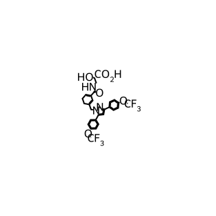 O=C(NCC(O)C(=O)O)C1=CCCC(Cn2nc(-c3ccc(OC(F)(F)F)cc3)cc2-c2ccc(OC(F)(F)F)cc2)=C1